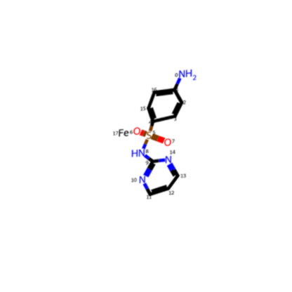 Nc1ccc(S(=O)(=O)Nc2ncccn2)cc1.[Fe]